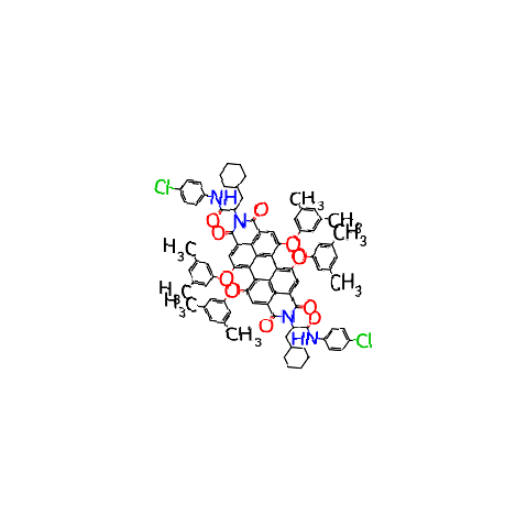 Cc1cc(C)cc(Oc2cc3c4c(cc(Oc5cc(C)cc(C)c5)c5c6c(Oc7cc(C)cc(C)c7)cc7c8c(cc(Oc9cc(C)cc(C)c9)c(c2c45)c86)C(=O)N(C(CC2CCCCC2)C(=O)Nc2ccc(Cl)cc2)C7=O)C(=O)N(C(CC2CCCCC2)C(=O)Nc2ccc(Cl)cc2)C3=O)c1